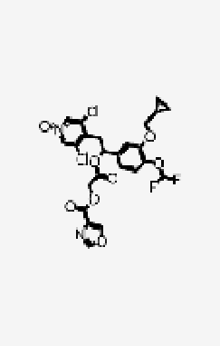 O=C(COC(=O)c1cocn1)OC(Cc1c(Cl)c[n+]([O-])cc1Cl)c1ccc(OC(F)F)c(OCC2CC2)c1